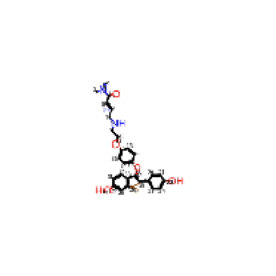 CN(C)C(=O)/C=C/CNCCOc1ccc(Oc2c(-c3ccc(O)cc3)sc3cc(O)ccc23)cc1